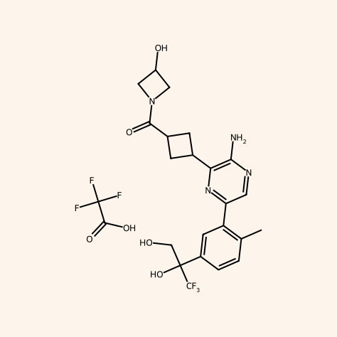 Cc1ccc(C(O)(CO)C(F)(F)F)cc1-c1cnc(N)c(C2CC(C(=O)N3CC(O)C3)C2)n1.O=C(O)C(F)(F)F